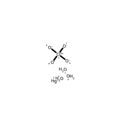 O.O.O.[Hg+].[O-][Cl+3]([O-])([O-])[O-]